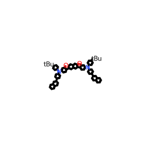 CC(C)(C)c1ccc(N(c2ccc(-c3ccc4ccccc4c3)cc2)c2ccc3c(c2)oc2cc4cc5oc6cc(N(c7ccc(-c8ccc9ccccc9c8)cc7)c7ccc(C(C)(C)C)cc7)ccc6c5cc4cc23)cc1